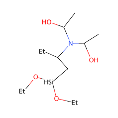 CCO[SiH](CC(CC)N(C(C)O)C(C)O)OCC